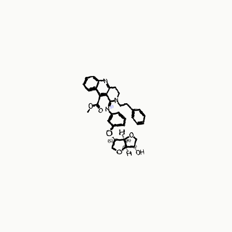 COC(=O)c1c2c(nc3ccccc13)CCN(CCc1ccccc1)/C2=N\c1cccc(O[C@H]2CO[C@H]3[C@@H]2OC[C@@H]3O)c1